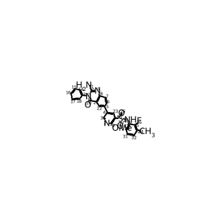 COc1ncc(-c2ccc3nc(N)n(-c4ccccc4)c(=O)c3c2)cc1S(=O)(=O)Nc1cccc(C)c1F